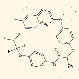 CC(Oc1ccc(Oc2cnc3cc(F)ccc3n2)cc1)C(=O)Nc1ccc(OC(F)(F)C(F)F)cc1